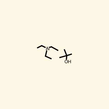 CC(C)(C)O.C[CH2][Al]([CH2]C)[CH2]C